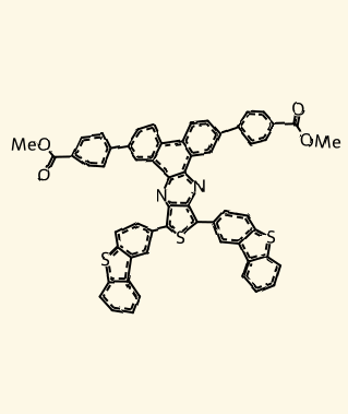 COC(=O)c1ccc(-c2ccc3c4ccc(-c5ccc(C(=O)OC)cc5)cc4c4nc5c(-c6ccc7sc8ccccc8c7c6)sc(-c6ccc7sc8ccccc8c7c6)c5nc4c3c2)cc1